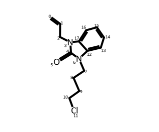 C=CCn1c(=O)n(CCCCCl)c2ccccc21